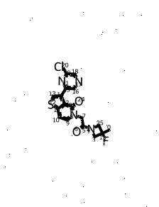 CC1(F)CN(C(=O)Cn2ccc3scc(-c4cncc(Cl)n4)c3c2=O)C1